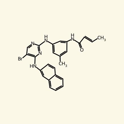 C/C=C/C(=O)Nc1cc(C)cc(Nc2ncc(Br)c(Nc3ccc4ccccc4c3)n2)c1